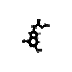 CC(C)(C)OC(=O)Nc1nc2c(Br)cc(C=O)cc2s1